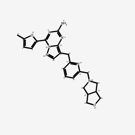 Cc1ccc(-c2nc(N)nc3c(Cc4cccc(CN5CC6COCC6C5)n4)cnn23)o1